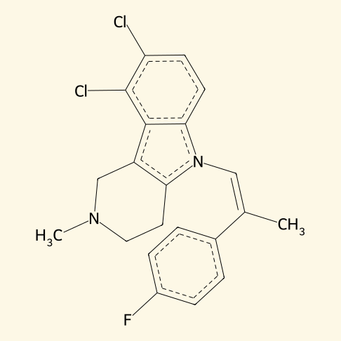 C/C(=C/n1c2c(c3c(Cl)c(Cl)ccc31)CN(C)CC2)c1ccc(F)cc1